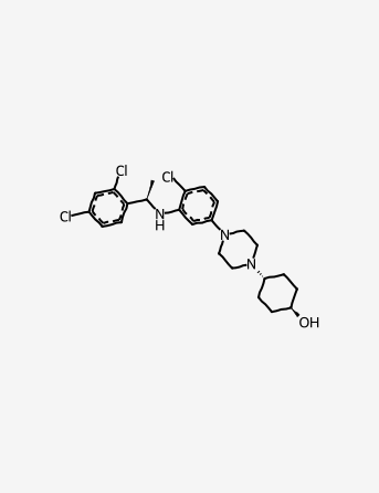 C[C@@H](Nc1cc(N2CCN([C@H]3CC[C@H](O)CC3)CC2)ccc1Cl)c1ccc(Cl)cc1Cl